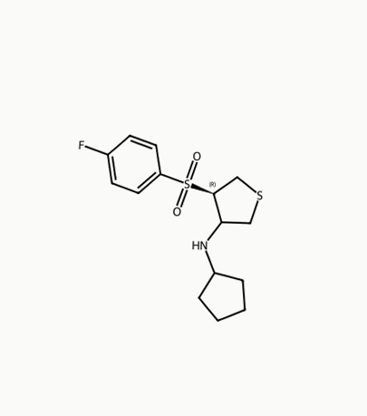 O=S(=O)(c1ccc(F)cc1)[C@H]1CSCC1NC1CCCC1